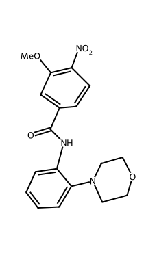 COc1cc(C(=O)Nc2ccccc2N2CCOCC2)ccc1[N+](=O)[O-]